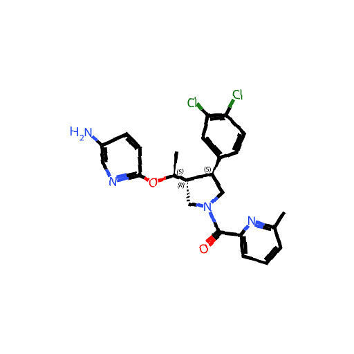 Cc1cccc(C(=O)N2C[C@H]([C@H](C)Oc3ccc(N)cn3)[C@@H](c3ccc(Cl)c(Cl)c3)C2)n1